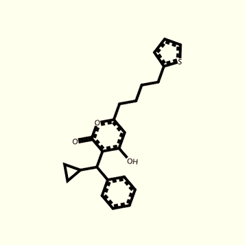 O=c1oc(CCCCc2cccs2)cc(O)c1C(c1ccccc1)C1CC1